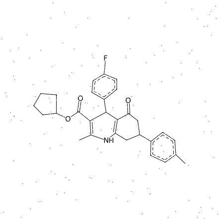 CC1=C(C(=O)OC2CCCC2)C(c2ccc(F)cc2)C2=C(CC(c3ccc(C)cc3)CC2=O)N1